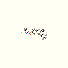 CCN(CC)CCOc1ccc(CC(C)=Cc2ccccc2)cc1